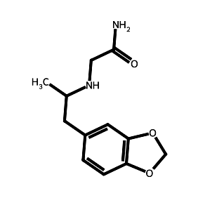 CC(Cc1ccc2c(c1)OCO2)NCC(N)=O